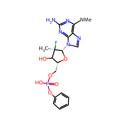 CNc1nc(N)nc2c1ncn2[C@@H]1O[C@H](COP(=O)(O)Oc2ccccc2)C(O)[C@@]1(C)F